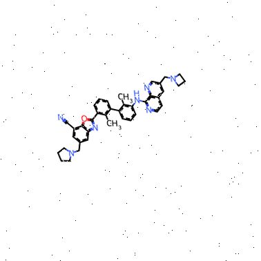 Cc1c(Nc2nccc3cc(CN4CCC4)cnc23)cccc1-c1cccc(-c2nc3cc(CN4CCCC4)cc(C#N)c3o2)c1C